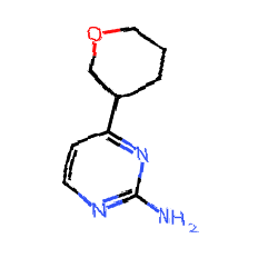 Nc1nccc(C2CCCOC2)n1